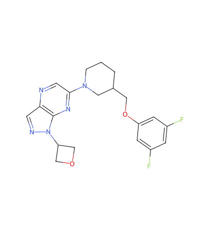 Fc1cc(F)cc(OCC2CCCN(c3cnc4cnn(C5COC5)c4n3)C2)c1